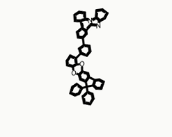 c1ccc(C2(c3ccccc3)c3ccccc3-c3cc4c(cc32)Oc2cccc(-c3cccc(-c5ccc6c7ccccc7n7c8ccccc8nc7c6c5)c3)c2O4)cc1